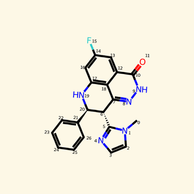 Cn1ccnc1[C@H]1c2n[nH]c(=O)c3cc(F)cc(c23)N[C@@H]1c1ccccc1